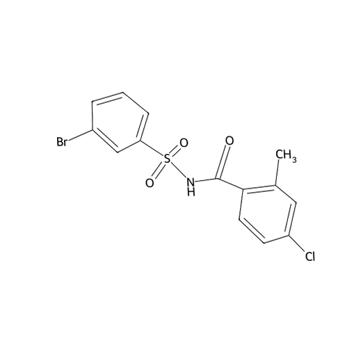 Cc1cc(Cl)ccc1C(=O)NS(=O)(=O)c1cccc(Br)c1